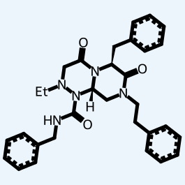 CCN1CC(=O)N2[C@@H](Cc3ccccc3)C(=O)N(CCc3ccccc3)C[C@@H]2N1C(=O)NCc1ccccc1